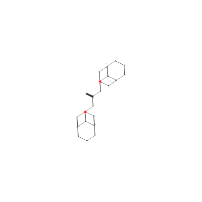 O=C(CCC1C2CCCC1CCC2)CCC1C2CCCC1CCC2